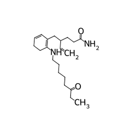 C=CC(CCC(N)=O)CC1=C(NCCCCCC(=O)CC)CCC=C1